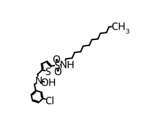 CCCCCCCCCCCCNS(=O)(=O)c1ccc(CN(O)Cc2cccc(Cl)c2)s1